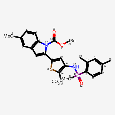 COc1ccc2c(c1)cc(-c1cc(NP(=O)(OC)c3ccc(C)cc3C)c(C(=O)O)s1)n2C(=O)OC(C)(C)C